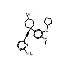 COc1ccc(C2(C#Cc3ccnc(N)n3)CCC(O)CC2)cc1OC1CCCC1